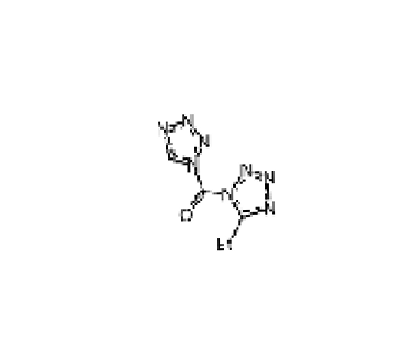 CCc1nnnn1C(=O)n1cnnn1